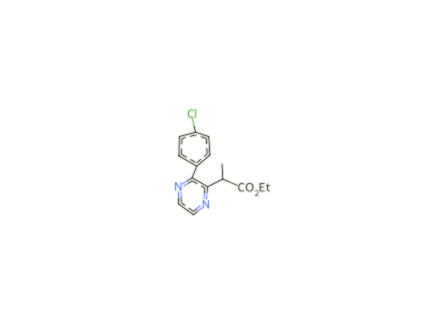 CCOC(=O)C(C)c1nccnc1-c1ccc(Cl)cc1